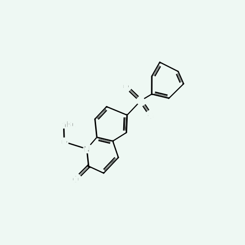 CCCCOn1c(=O)ccc2cc(S(=O)(=O)c3ccccc3)ccc21